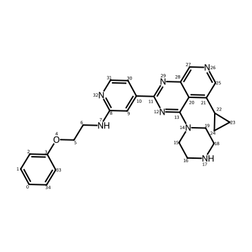 c1ccc(OCCNc2cc(-c3nc(N4CCNCC4)c4c(C5CC5)cncc4n3)ccn2)cc1